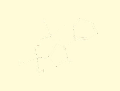 CC(C)(C)c1cnn(-c2ccccc2)c1C(F)(F)F